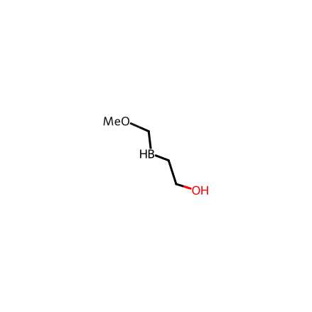 COCBCCO